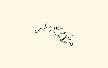 CN(CCCl)CCCCc1ccc2c(c1)sc(=O)n2C.Cl